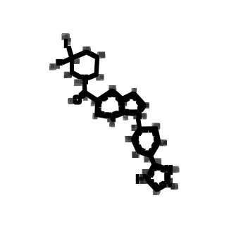 O=C(c1cnc2c(ccn2-c2ccc(-c3nnc[nH]3)cc2)c1)N1CCCC(F)(F)C1